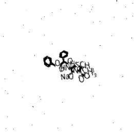 CC1(C)S[C@@H]2[C@H](NC(=O)C(C(=O)OCc3ccccc3)c3ccccc3)C(=O)N2[C@H]1C(=O)[O-].[Na+]